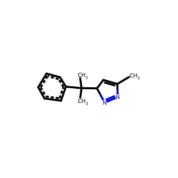 CC1=C[C](C(C)(C)c2ccccc2)N=N1